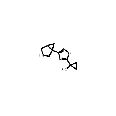 FC(F)(F)C1(c2nc(C34CNCC3C4)no2)CC1